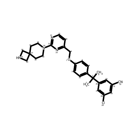 CC(C)(c1ccc(OCc2ccnc(N3CCC4(CC3)CNC4)n2)cc1)c1cc(Cl)cc(C#N)c1